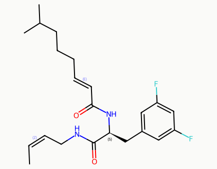 C/C=C\CNC(=O)[C@H](Cc1cc(F)cc(F)c1)NC(=O)/C=C/CCCC(C)C